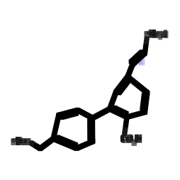 CCCCCCC/C=C/c1ccc(C(=O)O)c(-c2ccc(CCCCCCCCCCC)cc2)c1